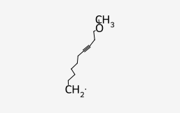 [CH2]CCCCCC#CCCOC